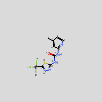 Cc1ccnc(NC(=O)Nc2nnc(C(F)(F)F)s2)c1